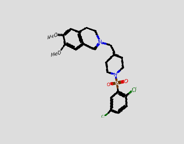 COc1cc2c(cc1OC)CN(CC1CCN(S(=O)(=O)c3cc(Cl)ccc3Cl)CC1)CC2